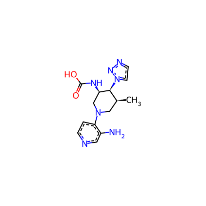 C[C@H]1CN(c2ccncc2N)C[C@@H](NC(=O)O)[C@H]1n1ccnn1